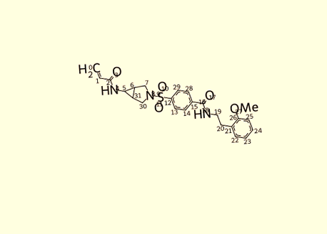 C=CC(=O)NC1C2CN(S(=O)(=O)c3ccc(C(=O)NCCc4ccccc4OC)cc3)CC21